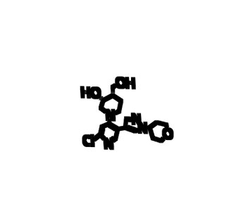 OC[C@H]1CCN(c2cc(Cl)ncc2-c2cnn(C3CCOCC3)c2)C[C@@H]1O